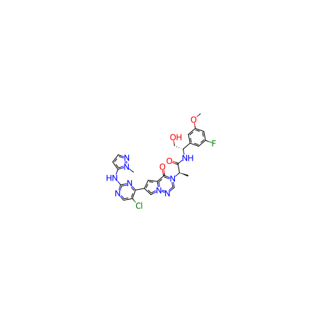 COc1cc(F)cc([C@@H](CO)NC(=O)[C@@H](C)n2cnn3cc(-c4nc(Nc5ccnn5C)ncc4Cl)cc3c2=O)c1